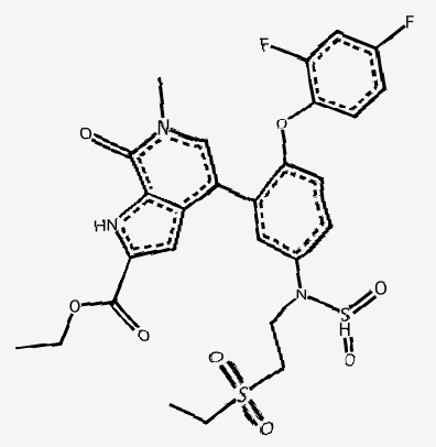 CCOC(=O)c1cc2c(-c3cc(N(CCS(=O)(=O)CC)[SH](=O)=O)ccc3Oc3ccc(F)cc3F)cn(C)c(=O)c2[nH]1